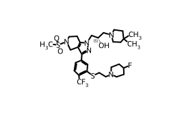 CC1(C)CCN(C[C@H](O)Cn2nc(-c3ccc(C(F)(F)F)c(SCCN4CCC(F)CC4)c3)c3c2CCN(S(C)(=O)=O)C3)CC1